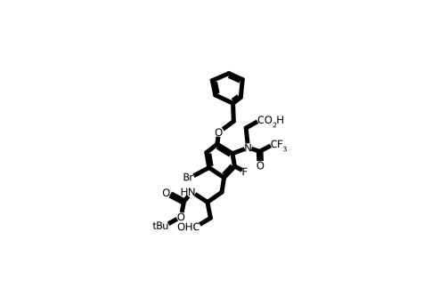 CC(C)(C)OC(=O)NC(CC=O)Cc1c(Br)cc(OCc2ccccc2)c(N(CC(=O)O)C(=O)C(F)(F)F)c1F